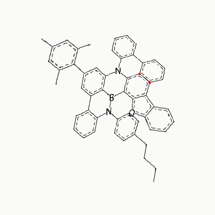 CCCCc1ccc(N2B3c4c(cc(-c5c(C)cc(C)cc5C)cc4N(c4ccccc4-c4ccccc4)c4ccc5c(oc6ccccc65)c43)-c3ccccc32)cc1